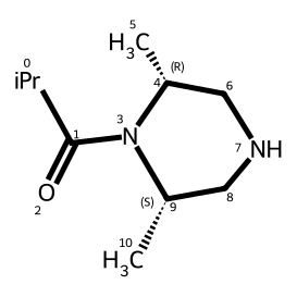 CC(C)C(=O)N1[C@H](C)CNC[C@@H]1C